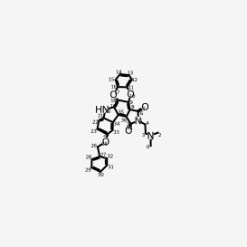 CN(C)CCn1c(=O)c2c3oc4ccccc4oc3c3[nH]c4ccc(OCc5ccccc5)cc4c3c2c1=O